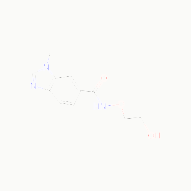 Cn1cnc2ccc(C(=O)NOCCO)cc21